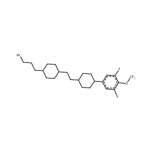 CC(C)CCCC1CCC(CCC2CCC(c3cc(F)c(OC(F)(F)F)c(F)c3)CC2)CC1